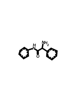 NC(C(=O)Nc1ccccc1)c1ccccc1